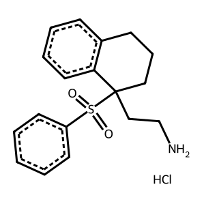 Cl.NCCC1(S(=O)(=O)c2ccccc2)CCCc2ccccc21